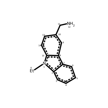 CCn1c2ccccc2c2cc(CN)ccc21